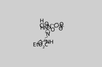 CCOC(=O)N[C@@H](CCN1CCC2(CC1)NC(=O)N(Cc1ccc(S(C)(=O)=O)cc1)C2=O)c1ccccc1.Cl